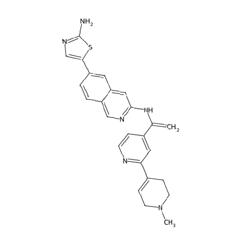 C=C(Nc1cc2cc(-c3cnc(N)s3)ccc2cn1)c1ccnc(C2=CCN(C)CC2)c1